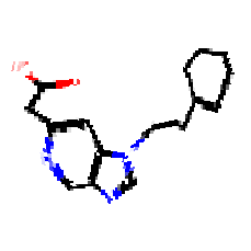 O=C(O)Cc1cc2c(cn1)ncn2CCC1CCCCC1